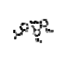 COc1cccc(OC)c1C1CC(C)CN1Cc1cccc(OC(F)F)n1